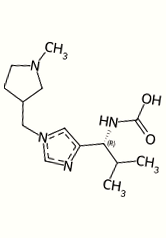 CC(C)[C@@H](NC(=O)O)c1cn(CC2CCN(C)C2)cn1